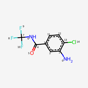 Nc1cc(C(=O)NC(F)(F)F)ccc1Cl